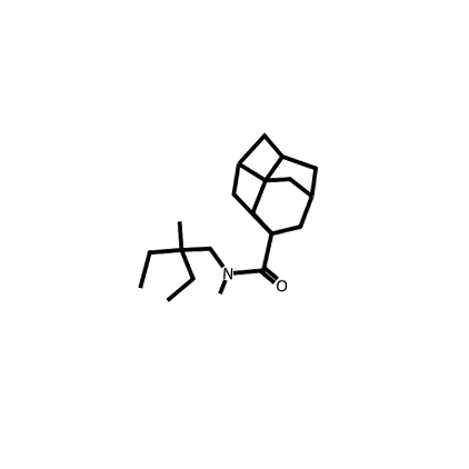 CCC(C)(CC)CN(C)C(=O)C12CC3CC4CC(C1)C4(C3)C2